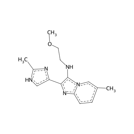 COCCNc1c(-c2c[nH]c(C)n2)nc2ccc(C)cn12